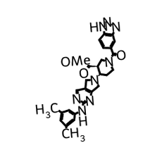 COC(=O)[C@H]1CN(C(=O)c2ccc3[nH]nnc3c2)CC[C@@H]1N1Cc2cnc(Nc3cc(C)cc(C)c3)nc2C1